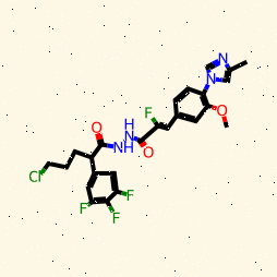 COc1cc(/C=C(\F)C(=O)NNC(=O)C(CCCCl)c2cc(F)c(F)c(F)c2)ccc1-n1cnc(C)c1